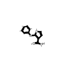 O=C(O)c1ccoc1Sc1ccccc1